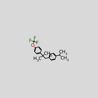 CC(C)c1ccc(CC(C)(C)c2ccc(OC(F)(F)F)cc2)cc1